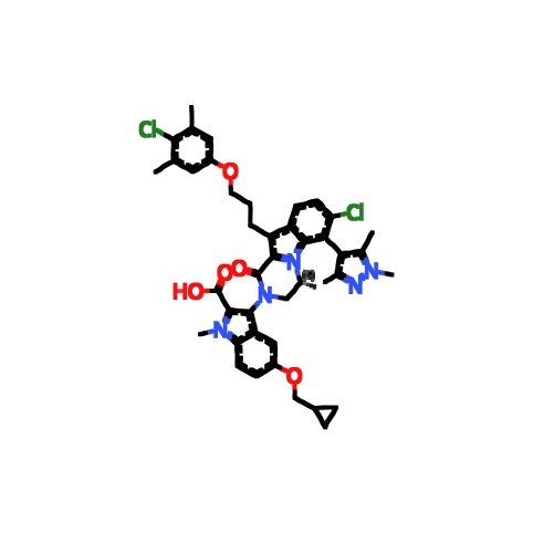 Cc1cc(OCCCc2c3n(c4c(-c5c(C)nn(C)c5C)c(Cl)ccc24)[C@H](C)CN(c2c(C(=O)O)n(C)c4ccc(OCC5CC5)cc24)C3=O)cc(C)c1Cl